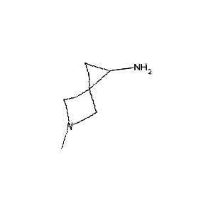 CN1CC2(CC2N)C1